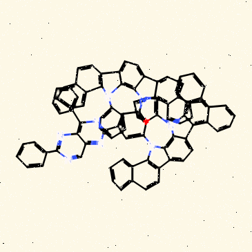 CC1CC=Cc2c1ccc1c3ccc4c5ccc6ccccc6c5n(-c5ccccc5)c4c3n(-c3cc(-c4nc(-c5ccccc5)c5nc(-c6ccccc6)ncc5n4)cc(-n4c5c6ccccc6ccc5c5ccc6c7c8ccccc8c8ccccc8c7n(-c7ccccc7)c6c54)c3)c21